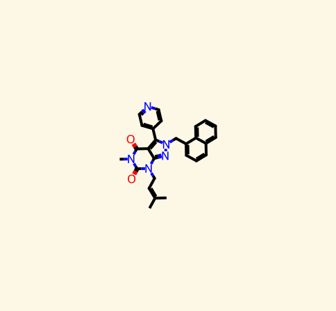 CC(C)=CCn1c(=O)n(C)c(=O)c2c(-c3ccncc3)n(Cc3cccc4ccccc34)nc21